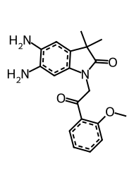 COc1ccccc1C(=O)CN1C(=O)C(C)(C)c2cc(N)c(N)cc21